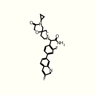 NC(=O)C(c1ccc(-c2ccc3cc(F)cnc3c2)cc1F)N1CCC2(CC1)CN(C1CC1)C(=O)CO2